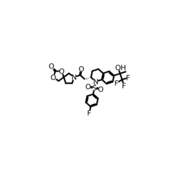 CC(O)(c1ccc2c(c1)CC[C@@H](CC(=O)N1CCC3(COC(=O)O3)C1)N2S(=O)(=O)c1ccc(F)cc1)C(F)(F)F